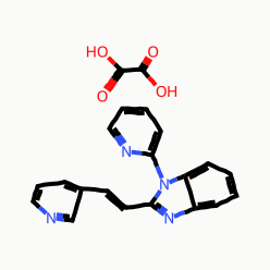 C(=Cc1nc2ccccc2n1-c1ccccn1)c1cccnc1.O=C(O)C(=O)O